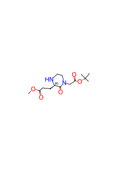 COC(=O)CC[C@H]1NCCN(CC(=O)OC(C)(C)C)C1=O